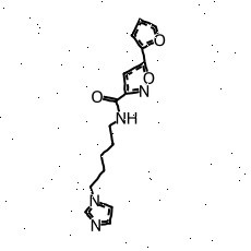 O=C(NCCCCCn1ccnc1)c1cc(-c2ccco2)on1